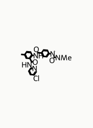 CNC(=O)N(C)c1ccc(C(=O)Nc2ccc(C)cc2C(=O)Nc2ccc(Cl)cn2)cc1